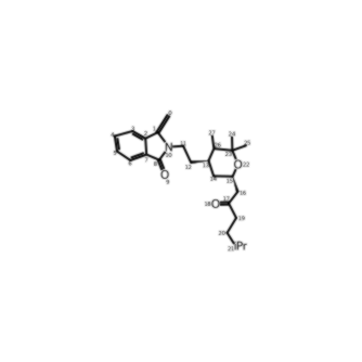 C=C1c2ccccc2C(=O)N1CC[C@@H]1C[C@H](CC(=O)CCC(C)C)OC(C)(C)C1C